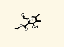 C=C(C(C)C)C(O)C(NC=O)C(=O)OCC